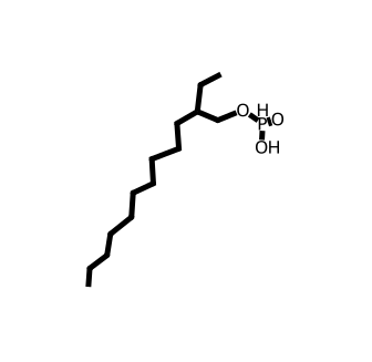 CCCCCCCCCCC(CC)CO[PH](=O)O